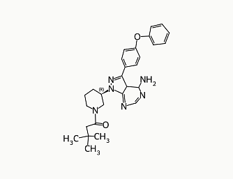 CC(C)(C)CC(=O)N1CCC[C@@H](N2N=C(c3ccc(Oc4ccccc4)cc3)C3C2=NC=NC3N)C1